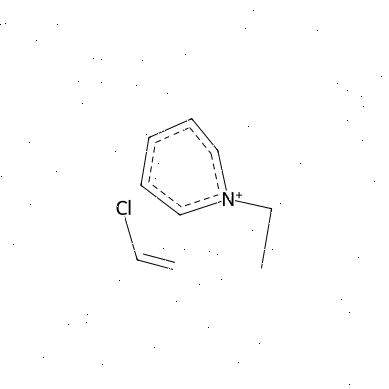 C=CCl.CC[n+]1ccccc1